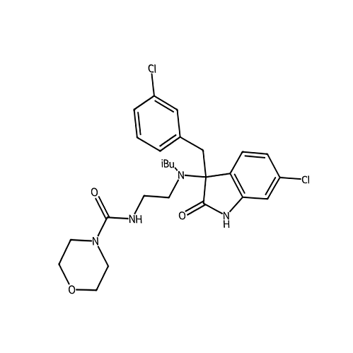 CCC(C)N(CCNC(=O)N1CCOCC1)C1(Cc2cccc(Cl)c2)C(=O)Nc2cc(Cl)ccc21